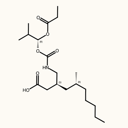 CCCCC[C@@H](C)C[C@H](CNC(=O)O[C@@H](OC(=O)CC)C(C)C)CC(=O)O